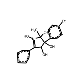 CCc1ccc(C2(O)C(O)C(c3ccccc3)=[N+](O)C2(C)C)cc1